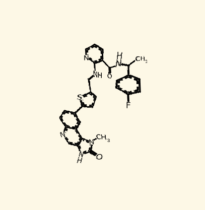 CC(NC(=O)c1cccnc1NCc1ccc(-c2ccc3ncc4[nH]c(=O)n(C)c4c3c2)s1)c1ccc(F)cc1